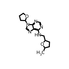 CC1CCC(CNc2ncnc3c2ncn3C2CCCO2)O1